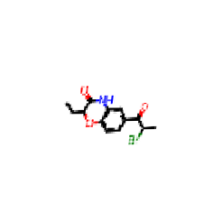 CCC1Oc2ccc(C(=O)C(C)Br)cc2NC1=O